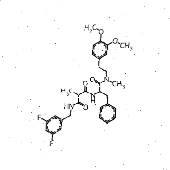 COc1ccc(CCN(C)C(=O)C(Cc2ccccc2)NC(=O)C(C)C(=O)NCc2cc(F)cc(F)c2)cc1OC